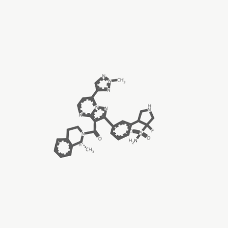 C[C@@H]1c2ccccc2CCN1C(=O)c1c(-c2cccc(C3CNCC3(F)S(N)(=O)=O)c2)nn2c(-c3cnn(C)n3)ccnc12